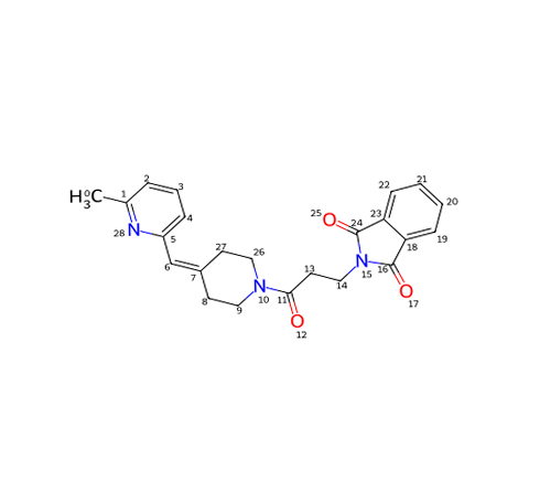 Cc1cccc(C=C2CCN(C(=O)CCN3C(=O)c4ccccc4C3=O)CC2)n1